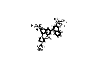 C[C@H]1CN(C(=O)OC(C)(C)C)CCN1c1nc(S(C)(=O)=O)nc2c1CCC(c1cc(O[Si](C)(C)C(C)(C)C)cc3ccccc13)C2